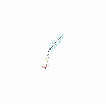 CC(=O)OCCSCCCCC(F)(F)C(F)(F)C(F)(F)C(F)(F)C(F)(F)C(F)(F)C(F)(F)C(F)(F)F